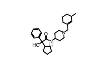 CC1C=C(CN2CCC(NC(=O)C(O)(c3ccccc3)C3CCCC3)CC2)CCC1